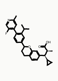 Cc1cc(-c2ccc(C3CCc4ccc([C@H](C5CC5)[C@H](C)C(=O)O)cc4O3)cc2C(C)C)c(F)cn1